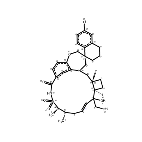 C[C@@H]1[C@@H](C)C/C=C/C(O)(CO)[C@@H]2CC[C@H]2CN2C[C@@]3(CCCc4cc(Cl)ccc43)COc3ccc(cc32)C(=O)NS1(=O)=O